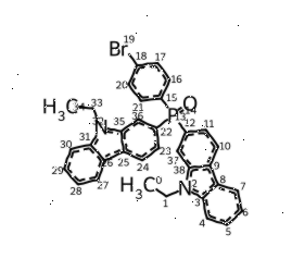 CCn1c2ccccc2c2ccc(P(=O)(c3ccc(Br)cc3)c3ccc4c5ccccc5n(CC)c4c3)cc21